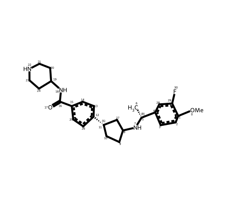 COc1ccc([C@@H](C)NC2CC[C@H](c3ccc(C(=O)NC4CCNCC4)cc3)C2)cc1F